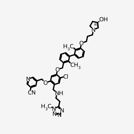 Cc1c(COc2cc(OCc3cncc(C#N)c3)c(CNCCc3nnnn3C)cc2Cl)cccc1-c1cccc(OCCCN2CC[C@@H](O)C2)c1C